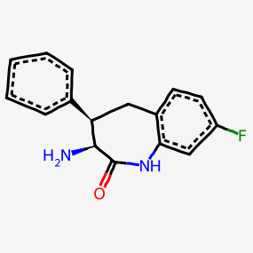 N[C@@H]1C(=O)Nc2cc(F)ccc2C[C@@H]1c1ccccc1